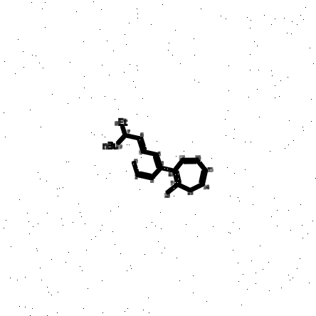 C\C=C/C(=C\C=C\C(CC)CCCC)C1=C(C)CC=CC=C1